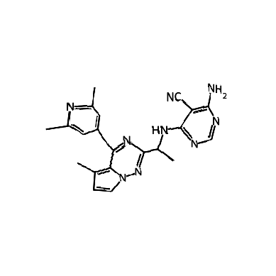 Cc1cc(-c2nc(C(C)Nc3ncnc(N)c3C#N)nn3ccc(C)c23)cc(C)n1